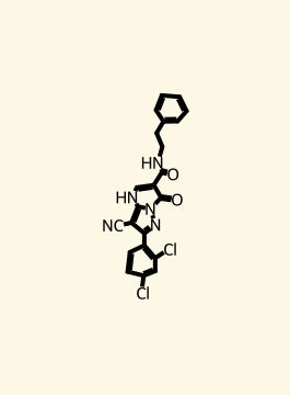 N#Cc1c(-c2ccc(Cl)cc2Cl)nn2c(=O)c(C(=O)NCCc3ccccc3)c[nH]c12